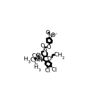 C=CCOc1cc(Cl)c(Cl)cc1C(N[S@@+]([O-])C(C)(C)C)C1CCN(C(=O)Oc2ccc([N+](=O)[O-])cc2)CC1